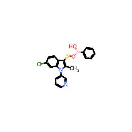 Cc1c(SOB(O)c2ccccc2)c2ccc(Cl)cc2n1-c1cccnc1